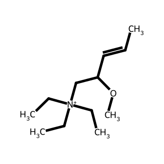 CC=CC(C[N+](CC)(CC)CC)OC